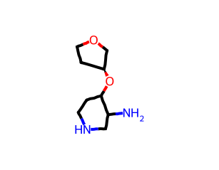 NC1CNCCC1O[C@H]1CCOC1